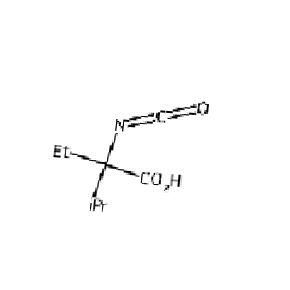 CCC(N=C=O)(C(=O)O)C(C)C